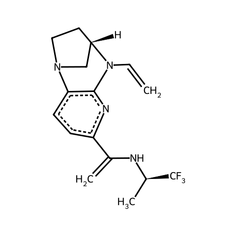 C=CN1c2nc(C(=C)N[C@H](C)C(F)(F)F)ccc2N2CC[C@H]1C2